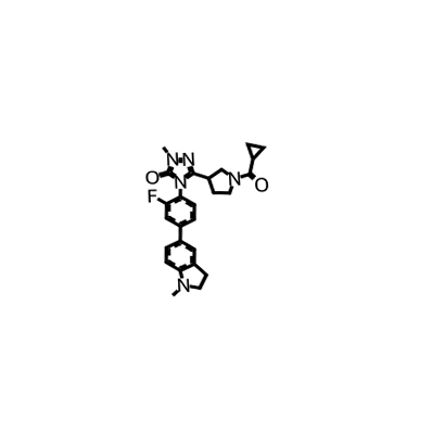 CN1CCc2cc(-c3ccc(-n4c(C5CCN(C(=O)C6CC6)C5)nn(C)c4=O)c(F)c3)ccc21